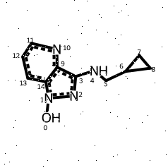 On1nc(NCC2CC2)c2ncccc21